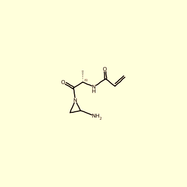 C=CC(=O)N[C@@H](C)C(=O)N1CC1N